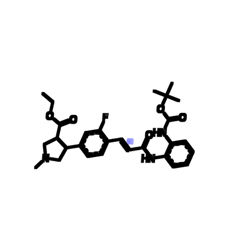 CCOC(=O)C1CN(C)CC1c1ccc(/C=C/C(=O)Nc2ccccc2NC(=O)OC(C)(C)C)c(F)c1